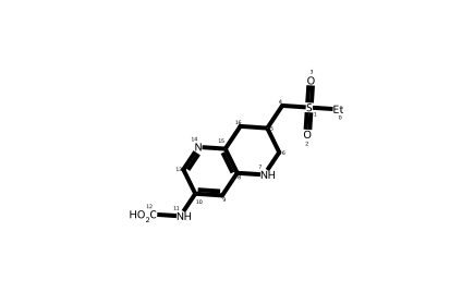 CCS(=O)(=O)CC1CNc2cc(NC(=O)O)cnc2C1